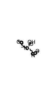 COc1cccc(SCCN2CC[C@@H](CCCc3ccnc4ccc(OC)cc34)[C@@H](CCC(=O)O)C2)c1